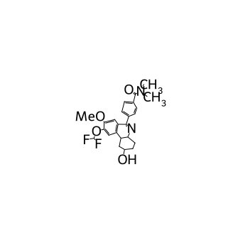 COc1cc2c(cc1OC(F)F)C1CC(O)CCC1N=C2c1ccc(C(=O)N(C)C)cc1